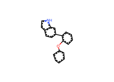 [c]1cccc(Oc2ccccc2)c1-c1ccc2cc[nH]c2c1